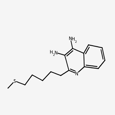 CSCCCCCc1nc2ccccc2c(N)c1N